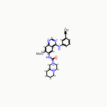 C#Cc1cccc(Nc2ncnc3cc(OC)c(NC(=O)N4CCN5CCCCC5C4)cc23)c1